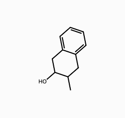 CC1Cc2ccccc2CC1O